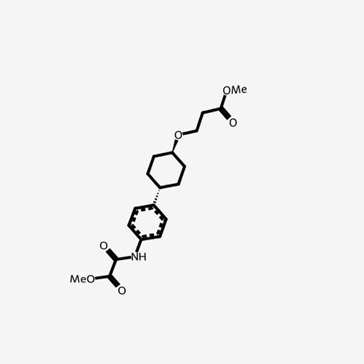 COC(=O)CCO[C@H]1CC[C@H](c2ccc(NC(=O)C(=O)OC)cc2)CC1